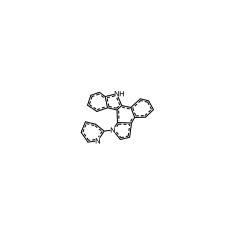 c1ccc(-n2ccc3c4ccccc4c4[nH]c5ccccc5c4c32)nc1